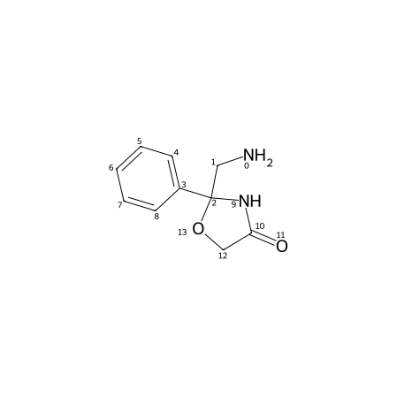 NCC1(c2ccccc2)NC(=O)CO1